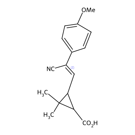 COc1ccc(/C(C#N)=C/C2C(C(=O)O)C2(C)C)cc1